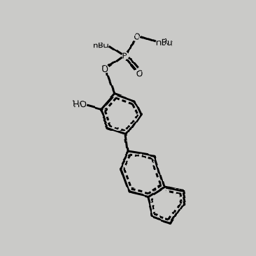 CCCCOP(=O)(CCCC)Oc1ccc(-c2ccc3ccccc3c2)cc1O